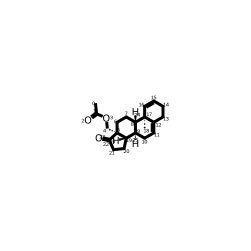 CC(=O)OC[C@]12CC[C@H]3[C@@H](CC=C4CCC=C[C@@]43C)[C@@H]1CCC2=O